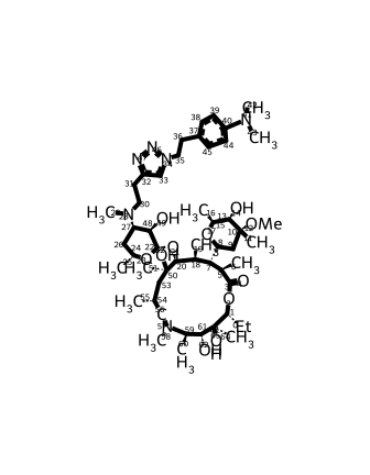 CC[C@H]1OC(=O)[C@H](C)[C@@H](C2C[C@@](C)(OC)[C@@H](O)[C@H](C)O2)[C@H](C)[C@@H](O[C@@H]2O[C@H](C)C[C@H](N(C)CCc3cn(CCc4ccc(N(C)C)cc4)nn3)[C@H]2O)[C@](C)(O)C[C@@H](C)CN(C)[C@H](C)[C@@H](O)[C@]1(C)O